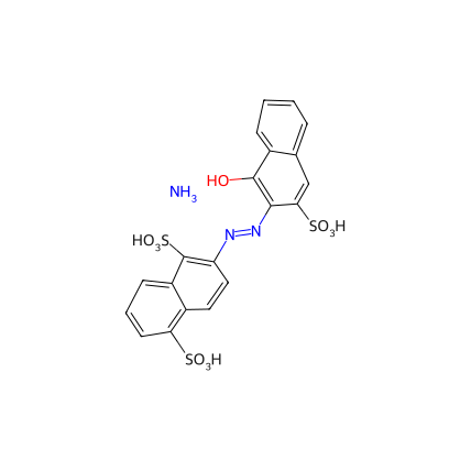 N.O=S(=O)(O)c1cc2ccccc2c(O)c1N=Nc1ccc2c(S(=O)(=O)O)cccc2c1S(=O)(=O)O